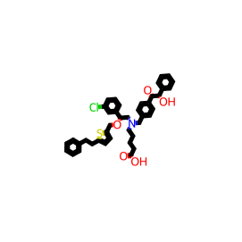 O=C(O)CCCCN(Cc1ccc(C(=O)C(O)c2ccccc2)cc1)CC(OCc1ccc(CCc2ccccc2)s1)c1cccc(Cl)c1